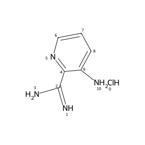 Cl.N=C(N)c1ncccc1N